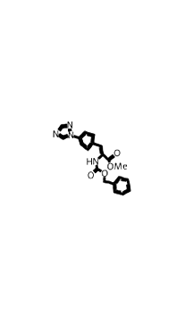 COC(=O)C(=Cc1ccc(-n2cncn2)cc1)NC(=O)OCc1ccccc1